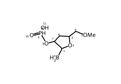 BC1OC(COC)CC1O[PH](=O)O